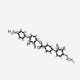 CCc1ccc(-c2ccc(C(=O)Oc3ccc(-c4ccc(C)cc4)c(F)c3F)cc2)c(F)c1F